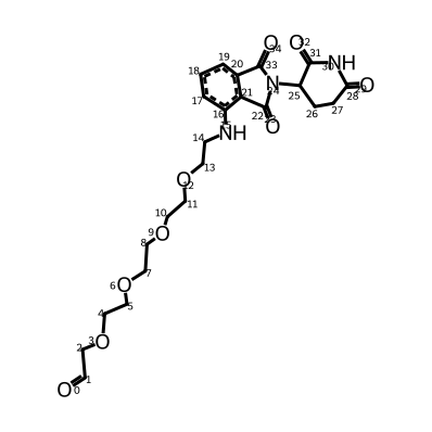 O=CCOCCOCCOCCOCCNc1cccc2c1C(=O)N(C1CCC(=O)NC1=O)C2=O